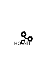 O[C@H]1CN[C@@H](C(c2ccccc2)c2ccccc2)C1